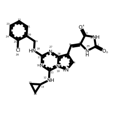 O=C1NC(=O)/C(=C/c2cnn3c(NC4CC4)nc(NCc4ccccc4Cl)nc23)N1